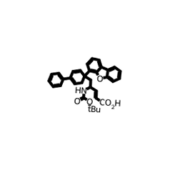 CC(C)(C)OC(=O)NC(C=CC(=O)O)CC1(c2cccc3c2oc2ccccc23)C=CC(c2ccccc2)=CC1